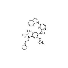 COc1cc(N(C)CCN2CCCC2)c(N)cc1Nc1nccc(-n2ccc3ccccc32)n1